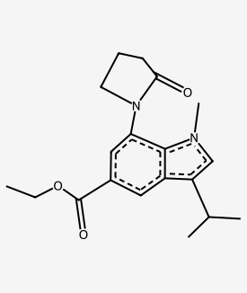 CCOC(=O)c1cc(N2CCCC2=O)c2c(c1)c(C(C)C)cn2C